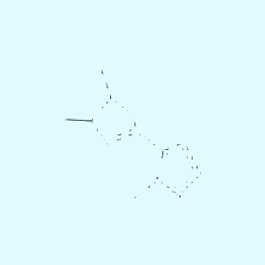 CC1C=C(c2ccnn2C)CC1C